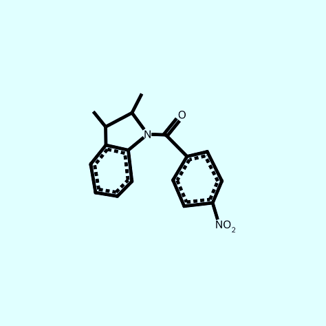 CC1c2ccccc2N(C(=O)c2ccc([N+](=O)[O-])cc2)C1C